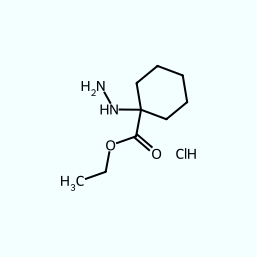 CCOC(=O)C1(NN)CCCCC1.Cl